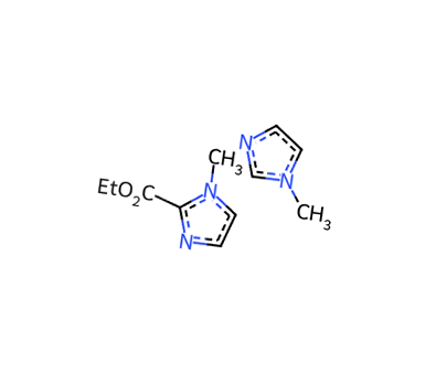 CCOC(=O)c1nccn1C.Cn1ccnc1